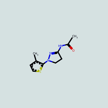 CC(=O)NC1=NN(c2sccc2C)CC1